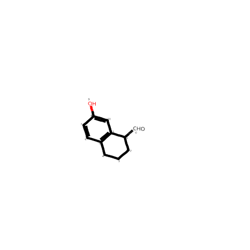 O=CC1CCCc2ccc(O)cc21